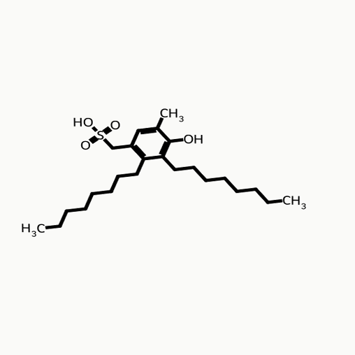 CCCCCCCCc1c(CS(=O)(=O)O)cc(C)c(O)c1CCCCCCCC